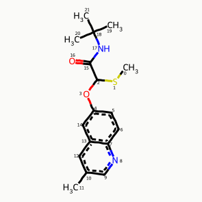 CSC(Oc1ccc2ncc(C)cc2c1)C(=O)NC(C)(C)C